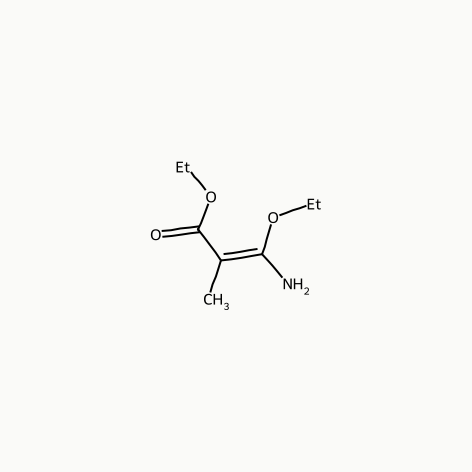 CCOC(=O)C(C)=C(N)OCC